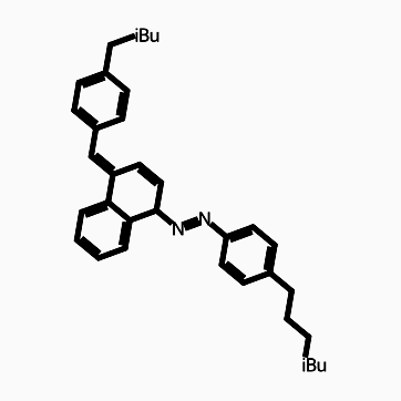 CCC(C)CCCc1ccc(N=NC2C=CC(=Cc3ccc(CC(C)CC)cc3)c3ccccc32)cc1